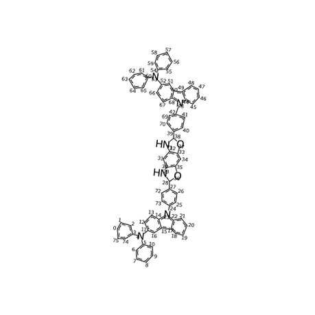 c1ccc(N(c2ccccc2)c2ccc3c(c2)c2ccccc2n3-c2ccc(C3Nc4cc5c(cc4O3)OC(c3ccc(-n4c6ccccc6c6cc(N(c7ccccc7)c7ccccc7)ccc64)cc3)N5)cc2)cc1